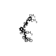 CC1CC(C)CN(Cc2csc(CSc3cccc4c3CN(C(C)CCC(=O)NC=O)C4=O)n2)C1